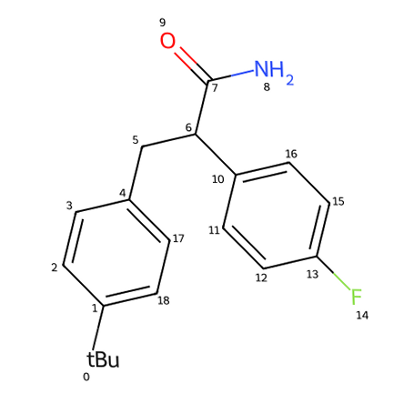 CC(C)(C)c1ccc(CC(C(N)=O)c2ccc(F)cc2)cc1